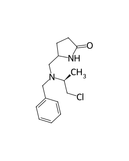 C[C@@H](CCl)N(Cc1ccccc1)CC1CCC(=O)N1